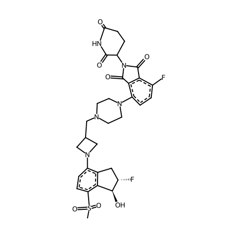 CS(=O)(=O)c1ccc(N2CC(CN3CCN(c4ccc(F)c5c4C(=O)N(C4CCC(=O)NC4=O)C5=O)CC3)C2)c2c1[C@H](O)[C@@H](F)C2